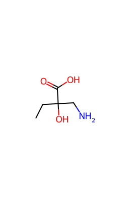 CCC(O)(CN)C(=O)O